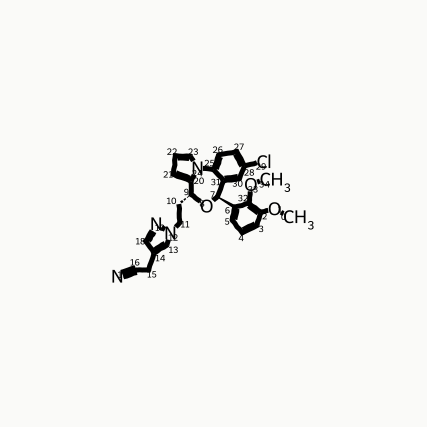 COc1cccc([C@H]2O[C@H](CCn3cc(CC#N)cn3)c3cccn3-c3ccc(Cl)cc32)c1OC